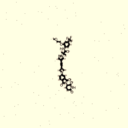 COCCOc1cc(C(F)(F)F)ccc1NC(=O)C(C)(C)n1cc(C#CC2CN(c3ccc4c(c3)C(=O)N(C3CCC(=O)NC3=O)C4=O)C2)cn1